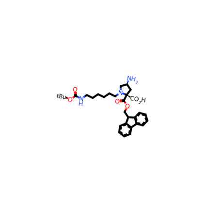 CC(C)(C)OC(=O)NCCCCCCN1C[C@@H](N)C[C@]1(C(=O)O)C(=O)OCC1c2ccccc2-c2ccccc21